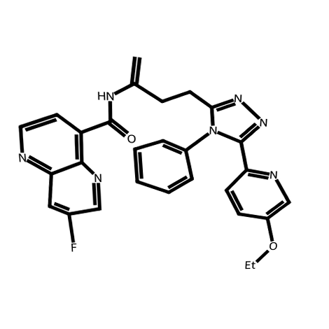 C=C(CCc1nnc(-c2ccc(OCC)cn2)n1-c1ccccc1)NC(=O)c1ccnc2cc(F)cnc12